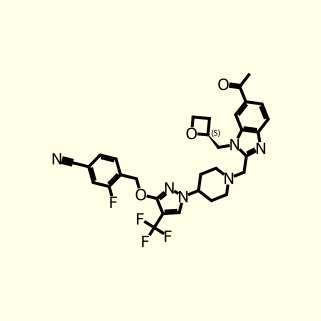 CC(=O)c1ccc2nc(CN3CCC(n4cc(C(F)(F)F)c(OCc5ccc(C#N)cc5F)n4)CC3)n(C[C@@H]3CCO3)c2c1